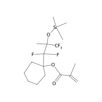 C=C(C)C(=O)OC1(C(F)(F)C(C)(O[Si](C)(C)C)C(F)(F)F)CCCCC1